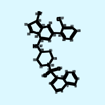 O=S(=O)(c1cccc2ccccc12)N1CCC(Nc2cc(-c3ccccc3Cl)nc3c(Br)cnn23)CC1